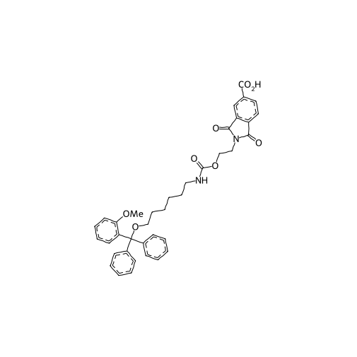 COc1ccccc1C(OCCCCCCNC(=O)OCCN1C(=O)c2ccc(C(=O)O)cc2C1=O)(c1ccccc1)c1ccccc1